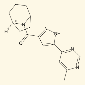 Cc1cc(-c2cc(C(=O)N3C4CCC[C@@H]3CC4)n[nH]2)ncn1